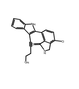 O=C1NCc2c(Cl)ccc(-c3[nH]c4ccccc4c3C#CCCO)c21